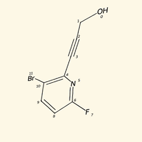 OCC#Cc1nc(F)ccc1Br